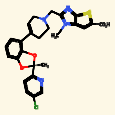 Cn1c(CN2CC=C(c3cccc4c3O[C@@](C)(c3ccc(Cl)cn3)O4)CC2)nc2sc(C(=O)O)cc21